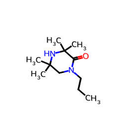 CCCN1CC(C)(C)NC(C)(C)C1=O